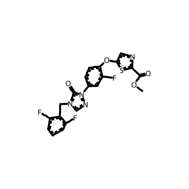 COC(=O)c1ncc(Oc2ccc(-n3ncn(Cc4c(F)cccc4F)c3=O)cc2F)s1